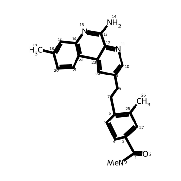 CNC(=O)c1ccc(CCc2cnc3c(N)nc4cc(C)ccc4c3c2)c(C)c1